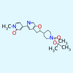 Cn1ccc(-c2cc3c(cn2)OC(C2CCN(C(=O)OC(C)(C)C)CC2)C3)cc1=O